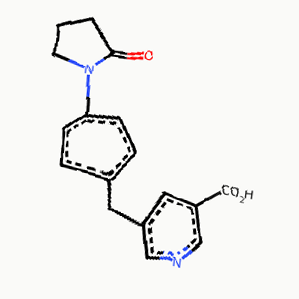 O=C(O)c1cncc(Cc2ccc(N3CCCC3=O)cc2)c1